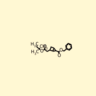 CCC(C)(C)OC(=O)CC1CC2C(C(=O)OCc3ccccc3)C12